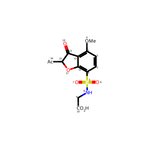 COc1ccc(S(=O)(=O)NCC(=O)O)c2c1C(=O)C(C(C)=O)O2